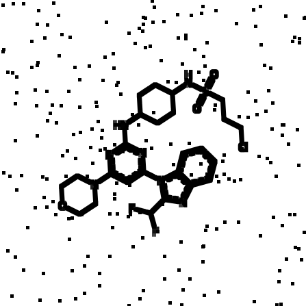 O=S(=O)(CCCCl)NC1CCC(Nc2nc(N3CCOCC3)cc(-n3c(C(F)F)nc4ccccc43)n2)CC1